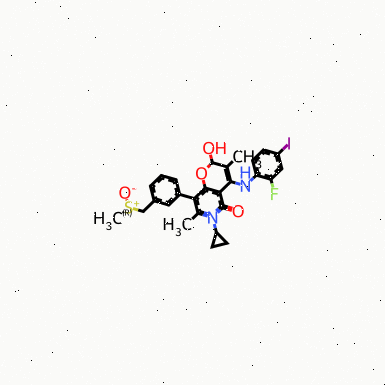 CC1=C(Nc2ccc(I)cc2F)c2c(c(-c3cccc(C[S@+](C)[O-])c3)c(C)n(C3CC3)c2=O)OC1O